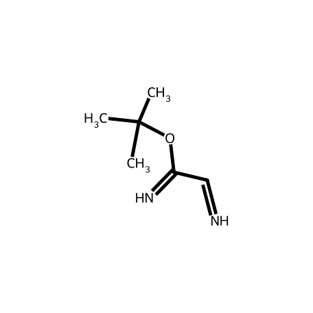 CC(C)(C)OC(=N)C=N